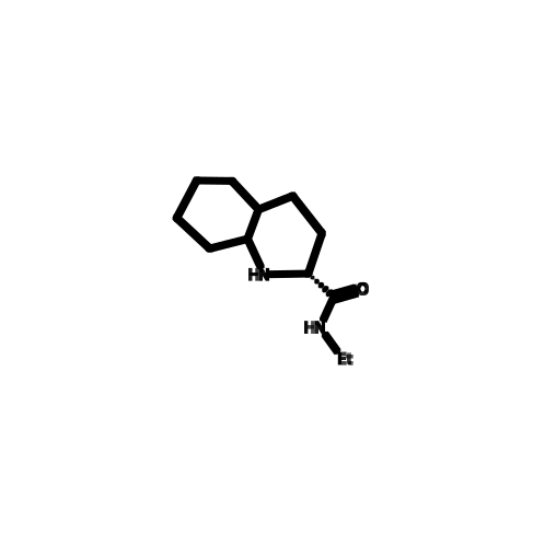 CCNC(=O)[C@H]1CCC2CCCCC2N1